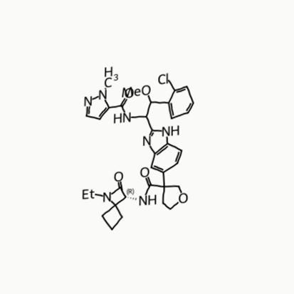 CCN1C(=O)[C@H](NC(=O)C2(c3ccc4[nH]c(C(NC(=O)c5ccnn5C)C(OC)c5ccccc5Cl)nc4c3)CCOC2)C12CCC2